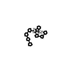 C[Si]1(C)c2ccccc2-c2nc(-c3cccc(-c4cccc(-c5ccc(-c6ccccc6)cc5)c4)c3)nc(-c3cccc(-c4cccc(-c5ccccc5)c4)c3)c21